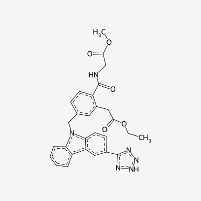 CCOC(=O)Cc1cc(Cn2c3ccccc3c3cc(-c4nn[nH]n4)ccc32)ccc1C(=O)NCC(=O)OC